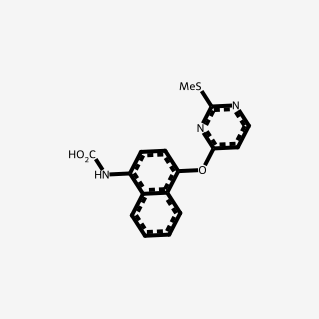 CSc1nccc(Oc2ccc(NC(=O)O)c3ccccc23)n1